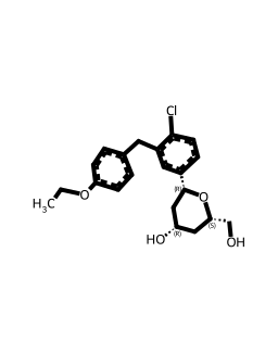 CCOc1ccc(Cc2cc([C@H]3C[C@@H](O)C[C@@H](CO)O3)ccc2Cl)cc1